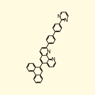 c1cnc(-c2ccc(-c3ccc(-c4ccc5cc(-c6cc7ccccc7c7ccccc67)c6cccnc6c5n4)cc3)cc2)nc1